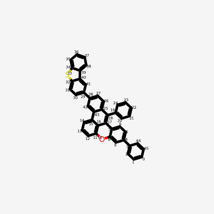 c1ccc(-c2ccc3c(c2)Oc2cccc4c2c-3c(-c2ccccc2)c2ccc(-c3ccc5sc6ccccc6c5c3)cc24)cc1